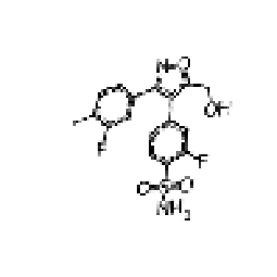 Cc1ccc(-c2noc(CO)c2-c2ccc(S(N)(=O)=O)c(F)c2)cc1F